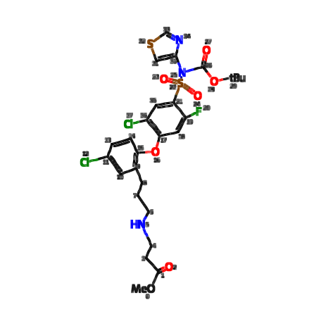 COC(=O)CCNCCCc1cc(Cl)ccc1Oc1cc(F)c(S(=O)(=O)N(C(=O)OC(C)(C)C)c2cscn2)cc1Cl